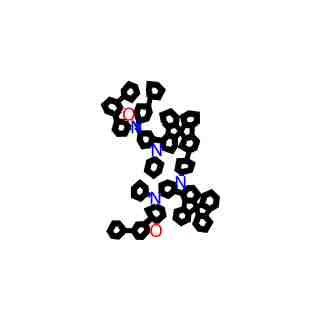 c1ccc(-c2ccc(N(c3ccc4c(c3)c3c5c(ccc3n4-c3ccccc3)C3(c4ccccc4-c4ccc(-c6ccc(-n7c8ccc(N(c9ccccc9)c9ccc%10oc%11ccc(-c%12ccccc%12)cc%11c%10c9)cc8c8c9c(ccc87)C7(c8ccccc8-c8ccccc87)c7ccccc7-9)cc6)cc43)c3ccccc3-5)c3cccc4c3oc3c(-c5ccccc5)cccc34)cc2)cc1